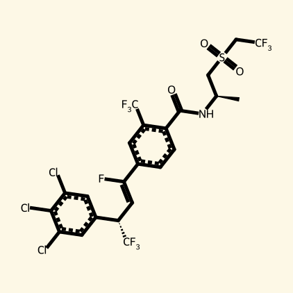 C[C@H](CS(=O)(=O)CC(F)(F)F)NC(=O)c1ccc(/C(F)=C/[C@@H](c2cc(Cl)c(Cl)c(Cl)c2)C(F)(F)F)cc1C(F)(F)F